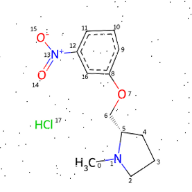 CN1CCC[C@H]1COc1cccc([N+](=O)[O-])c1.Cl